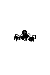 CC(NSc1c(Cl)c(C(=O)Nc2ccnc(Cl)c2)n2c1CCCCC2)OC(F)(F)F